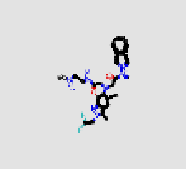 CCNCCNC(=O)CN(CC(=O)N(C)N1Cc2ccccc2C1)c1cc2nn(CC(F)F)c(C)c2cc1C